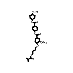 C=C(C)C(=O)OCCCCOc1ccc(C(=O)Oc2ccc(C(=O)Oc3ccc(CCCCCCCC)cc3)cc2)cc1OC